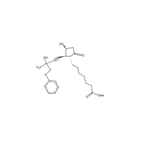 COC(=O)CCCCCC[C@H]1C(=O)C[C@H](O)[C@@H]1C#CC(C)(O)COc1ccccc1